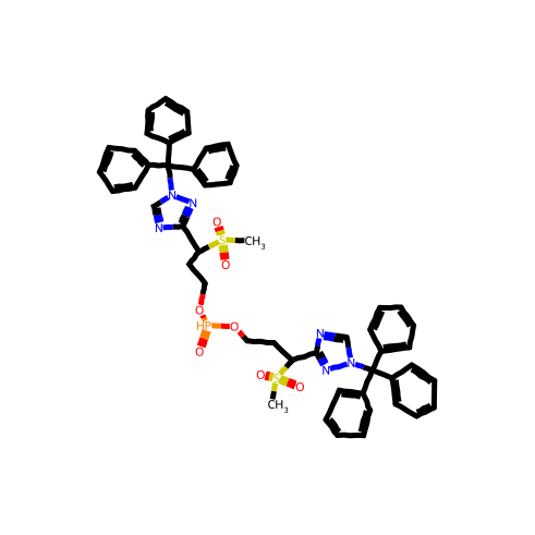 CS(=O)(=O)C(CCO[PH](=O)OCCC(c1ncn(C(c2ccccc2)(c2ccccc2)c2ccccc2)n1)S(C)(=O)=O)c1ncn(C(c2ccccc2)(c2ccccc2)c2ccccc2)n1